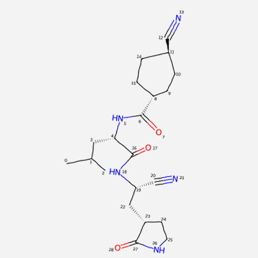 CC(C)C[C@H](NC(=O)[C@H]1CC[C@H](C#N)CC1)C(=O)N[C@H](C#N)C[C@@H]1CCNC1=O